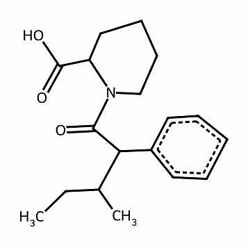 CCC(C)C(C(=O)N1CCCCC1C(=O)O)c1ccccc1